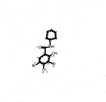 O=C(Nc1ccccc1)c1cc(Br)c(C(F)(F)F)c(Br)c1O